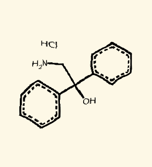 Cl.NCC(O)(c1ccccc1)c1ccccc1